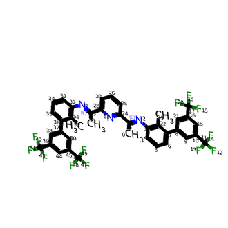 C/C(=N\c1cccc(-c2cc(C(F)(F)F)cc(C(F)(F)F)c2)c1C)c1cccc(/C(C)=N/c2cccc(-c3cc(C(F)(F)F)cc(C(F)(F)F)c3)c2C)n1